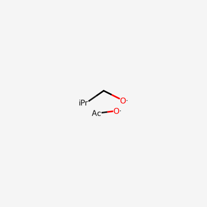 CC(C)C[O].CC([O])=O